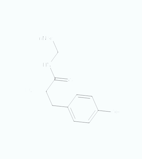 CCCCCCCCCCNC(=O)[C@@H](C)Cc1ccc(O)cc1